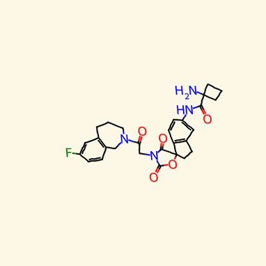 NC1(C(=O)Nc2ccc3c(c2)CCC32OC(=O)N(CC(=O)N3CCCc4cc(F)ccc4C3)C2=O)CCC1